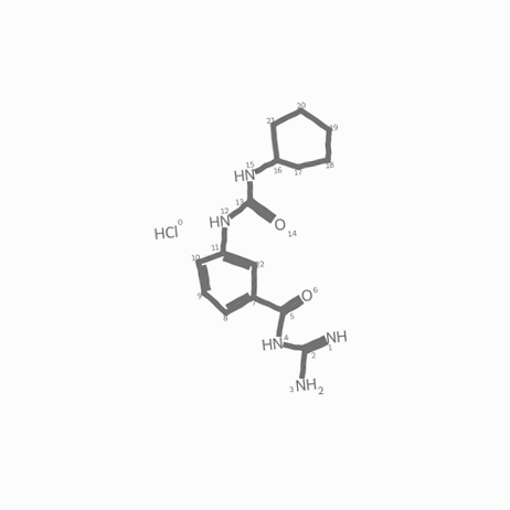 Cl.N=C(N)NC(=O)c1cccc(NC(=O)NC2CCCCC2)c1